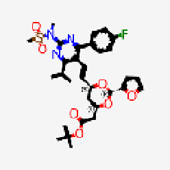 CC(C)c1nc(N(C)S(C)(=O)=O)nc(-c2ccc(F)cc2)c1C=C[C@@H]1C[C@H](CC(=O)OC(C)(C)C)O[C@@H](c2ccco2)O1